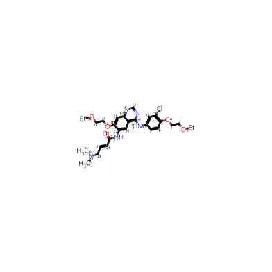 CCOCCOc1ccc(Nc2ncnc3cc(OCCOCC)c(NC(=O)/C=C/CN(C)C)cc23)cc1Cl